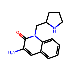 Nc1cc2ccccc2n(CC2CCCN2)c1=O